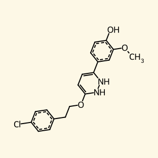 COc1cc(C2=CC=C(OCCc3ccc(Cl)cc3)NN2)ccc1O